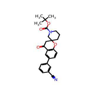 CC(C)(C)OC(=O)N1CCCC2(CC(=O)c3cc(-c4cccc(C#N)c4)ccc3O2)C1